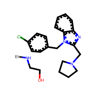 CCNCCO.Clc1ccc(Cn2c(CN3CCCC3)nc3ccccc32)cc1